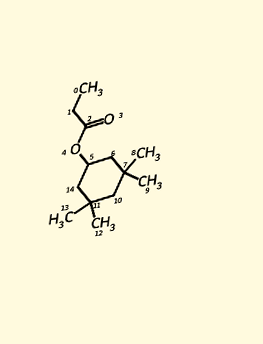 CCC(=O)OC1CC(C)(C)CC(C)(C)C1